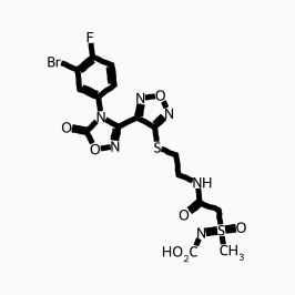 CS(=O)(CC(=O)NCCSc1nonc1-c1noc(=O)n1-c1ccc(F)c(Br)c1)=NC(=O)O